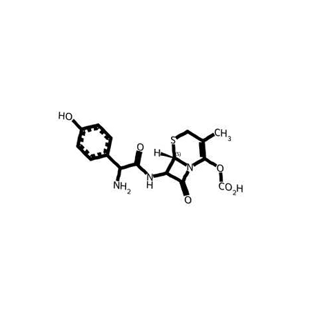 CC1=C(OC(=O)O)N2C(=O)C(NC(=O)C(N)c3ccc(O)cc3)[C@@H]2SC1